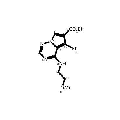 CCOC(=O)c1cn2ncnc(NCCOC)c2c1CC